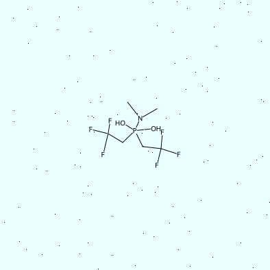 CN(C)P(O)(O)(CC(F)(F)F)CC(F)(F)F